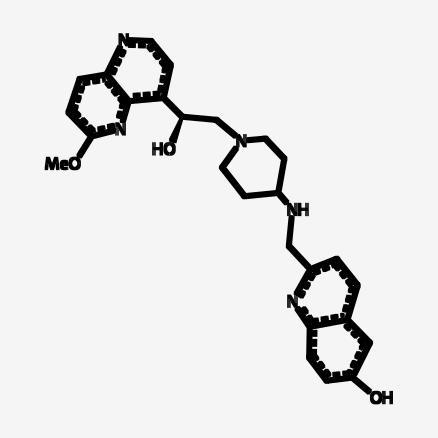 COc1ccc2nccc([C@H](O)CN3CCC(NCc4ccc5cc(O)ccc5n4)CC3)c2n1